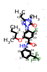 CCC[C@H](C)Oc1cc(-n2nc(CC)n(C)c2=O)c(F)cc1C(=O)Nc1cccc(C(F)(F)F)c1